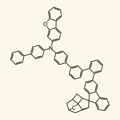 c1ccc(-c2ccc(N(c3ccc(-c4cccc(-c5ccccc5-c5ccc6c(c5)-c5ccccc5C65C6CC7CC8CC5C8(C7)C6)c4)cc3)c3ccc4c(c3)oc3ccccc34)cc2)cc1